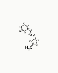 C=C1CCC(CSCc2ccccc2)C1